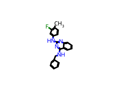 Cc1ccc(Nc2nc(NCc3ccccc3)c3ccccc3n2)cc1F